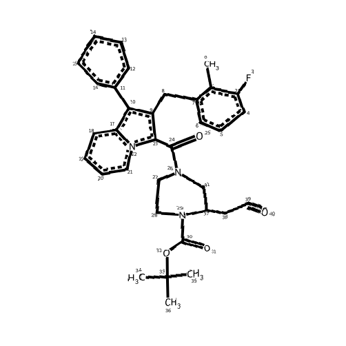 Cc1c(F)cccc1Cc1c(-c2ccccc2)c2ccccn2c1C(=O)N1CCN(C(=O)OC(C)(C)C)C(CC=O)C1